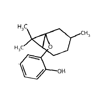 CC1CCC2C(C)(C)C2(Oc2c[c]ccc2O)C1